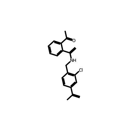 C=C(C)c1ccc(CNC(=C)c2ccccc2C(C)=O)c(Cl)c1